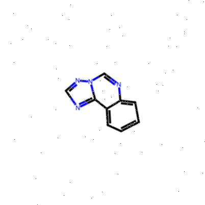 c1ccc2c(c1)ncn1ncnc21